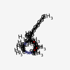 COCCOCCOCCOCCOCCOCCNC(=O)O[C@@H]1CC[C@@H](C[C@@H](C)[C@@H]2CC(=O)[C@H](C)/C=C(\C)[C@@H](O)[C@@H](O)C(=O)[C@H](C)C[C@H](C)/C=C/C=C/C=C(\C)[C@@H](OC)C[C@@H]3CC[C@@H](C)[C@@](O)(O3)C(=O)C(=O)N3CCCC[C@H]3C(=O)O2)C[C@H]1OC